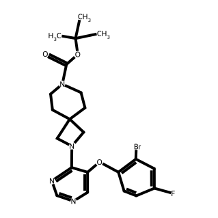 CC(C)(C)OC(=O)N1CCC2(CC1)CN(c1ncncc1Oc1ccc(F)cc1Br)C2